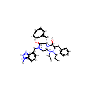 CCCN1C(Cc2ccccc2)C(=O)N2[C@@H](Cc3ccccc3)C(=O)N(Cc3cccc4c3nnn4C)C[C@@H]2N1CC